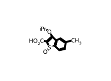 Cc1ccc2c(c1)c(OC(C)C)c(C(=O)O)[s+]2[O-]